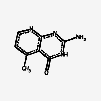 Cc1ccnc2nc(N)[nH]c(=O)c12